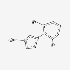 CCCC[n+]1ccn(-c2c(C(C)C)cccc2C(C)C)c1